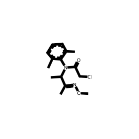 CON=C(C)C(C)N(C(=O)CCl)c1c(C)cccc1C